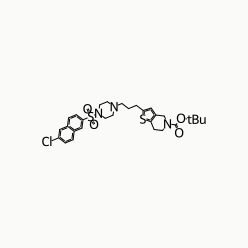 CC(C)(C)OC(=O)N1CCc2sc(CCCN3CCN(S(=O)(=O)c4ccc5cc(Cl)ccc5c4)CC3)cc2C1